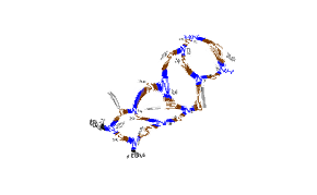 CC(C)(C)N1SN2SN3SN4SNSNSN(S4)SN(S3)SN(S2)SN(C(C)(C)C)S1